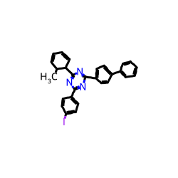 CC1C=CC=CC1c1nc(-c2ccc(I)cc2)nc(-c2ccc(-c3ccccc3)cc2)n1